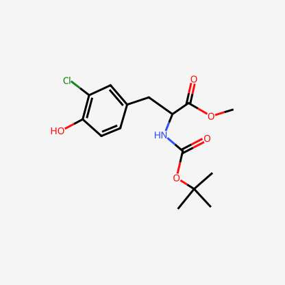 COC(=O)C(Cc1ccc(O)c(Cl)c1)NC(=O)OC(C)(C)C